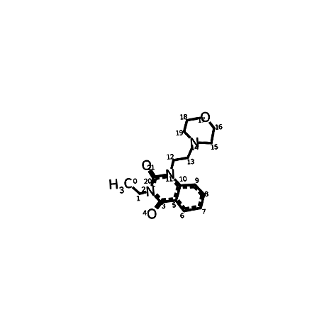 CCn1c(=O)c2ccccc2n(CCN2CCOCC2)c1=O